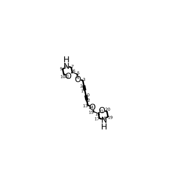 C(C#CCOC[C@@H]1CNCCO1)#CCOC[C@@H]1CNCCO1